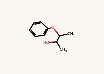 CC(O)C(C)Oc1ccccc1